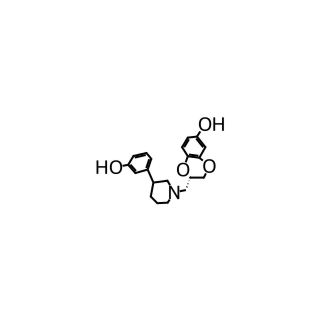 Oc1cccc(C2CCCN(C[C@H]3COc4cc(O)ccc4O3)C2)c1